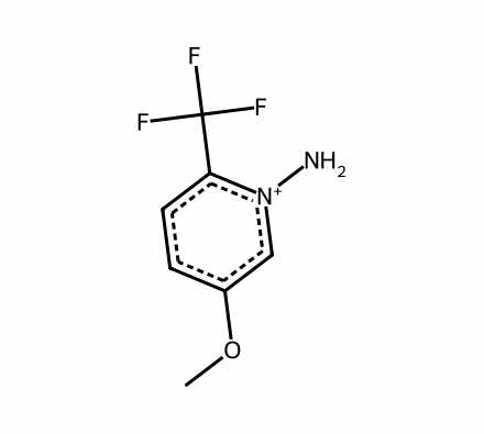 COc1ccc(C(F)(F)F)[n+](N)c1